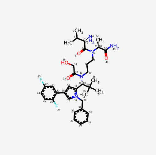 CC(C)[C@H](N)C(=O)N(CCCN(C(=O)CO)[C@@H](c1cc(-c2cc(F)ccc2F)cn1Cc1ccccc1)C(C)(C)C)[C@@H](C)C(N)=O